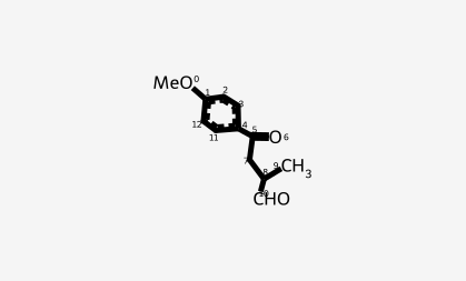 COc1ccc(C(=O)CC(C)C=O)cc1